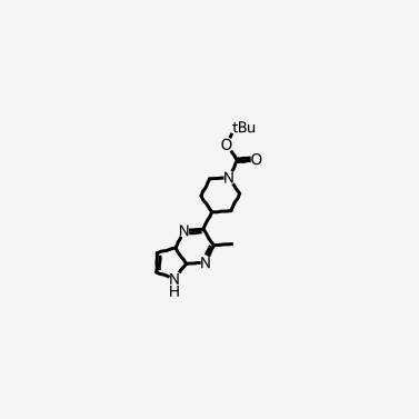 CC1=NC2NC=CC2N=C1C1CCN(C(=O)OC(C)(C)C)CC1